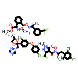 CC1COC(Cn2cncn2)(c2ccc(Oc3ccc(Cl)cc3)cc2Cl)O1.CO/N=C(/C(=O)OC)c1ccccc1CO/N=C(\C)c1cccc(C(F)(F)F)c1.CON(C(=O)c1cn(C)nc1C(F)F)C(C)Cc1c(Cl)cc(Cl)cc1Cl